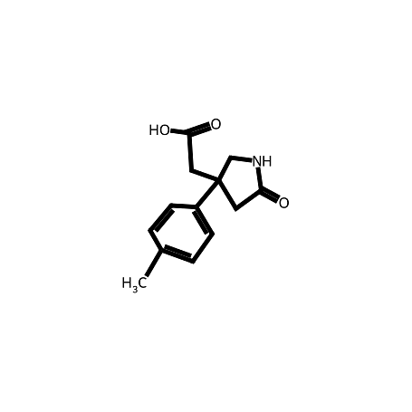 Cc1ccc(C2(CC(=O)O)CNC(=O)C2)cc1